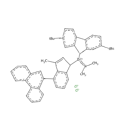 CC1=C[CH]([Zr+2]([CH]2c3cc(C(C)(C)C)ccc3-c3ccc(C(C)(C)C)cc32)=[Si](C)C)c2cccc(-c3cc4ccccc4c4ccccc34)c21.[Cl-].[Cl-]